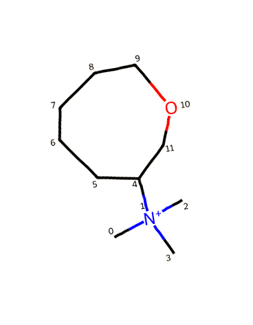 C[N+](C)(C)C1CCCCCOC1